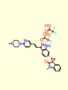 CN1CCN(c2ccc(/C=C/c3n[nH]c4cc([C@@H]5C[C@@]56C(=O)N(C)c5ccccc56)ccc34)cn2)CC1.O=C(O)C(F)(F)F.O=C(O)C(F)(F)F